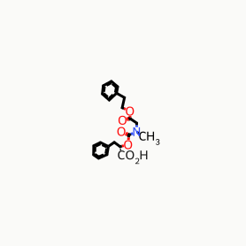 CN(CC(=O)OCCc1ccccc1)C(=O)O[C@@H](Cc1ccccc1)C(=O)O